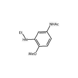 CCNc1cc(NC(C)=O)ccc1OC